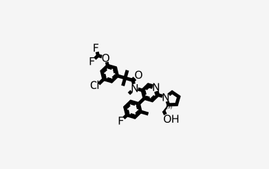 Cc1cc(F)ccc1-c1cc(N2CCC[C@H]2CO)ncc1N(C)C(=O)C(C)(C)c1cc(Cl)cc(OC(F)F)c1